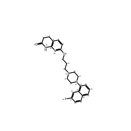 O=C1CCc2ccc(OCCCN3CCN(c4cccc5ccc(F)cc45)CC3)nc2N1